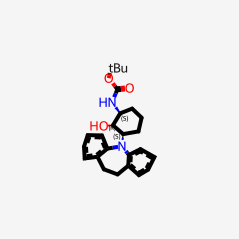 CC(C)(C)OC(=O)N[C@H]1CCC[C@H](N2c3ccccc3CCc3ccccc32)[C@@H]1O